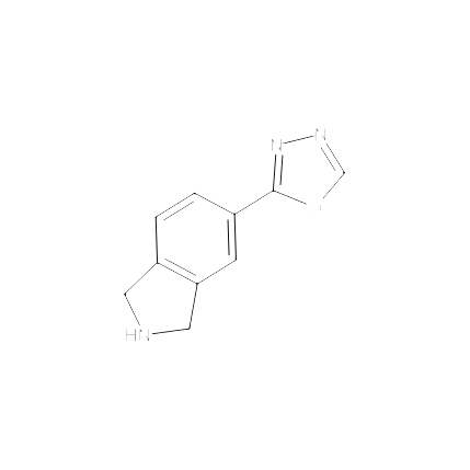 c1nnc(-c2ccc3c(c2)CNC3)o1